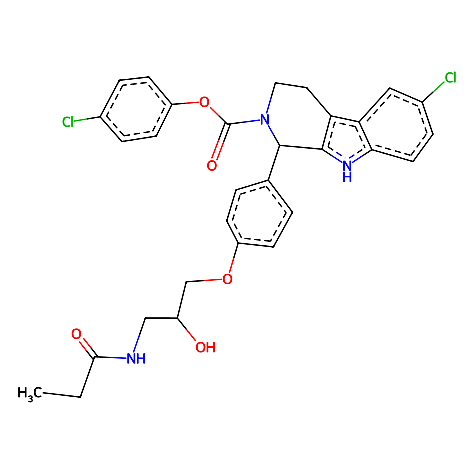 CCC(=O)NCC(O)COc1ccc(C2c3[nH]c4ccc(Cl)cc4c3CCN2C(=O)Oc2ccc(Cl)cc2)cc1